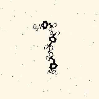 O=C(Cc1ccc([N+](=O)[O-])cc1)OCOC(=O)C1CCC(C(=O)OCOC(=O)Cc2ccc([N+](=O)[O-])cc2)CC1